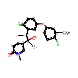 C[C@@H](c1cc(Oc2ccc(Cl)c(C(=O)O)c2)ccc1Cl)[C@](O)(c1ccc(=O)n(C)c1)C(F)(F)F